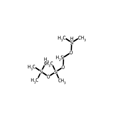 C[SiH](C)O[SiH2]O[Si](C)(C)O[Si](C)(C)C